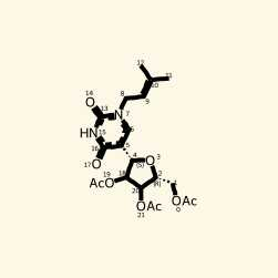 CC(=O)OC[C@H]1O[C@@H](c2cn(CC=C(C)C)c(=O)[nH]c2=O)C(OC(C)=O)C1OC(C)=O